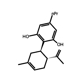 C=C(C)[C@@H]1CC=C(C)C[C@H]1c1c(O)cc(CCC)cc1O